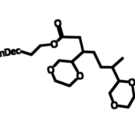 CCCCCCCCCCCCOC(=O)CC(CCC(C)C1COCCO1)C1COCCO1